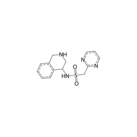 O=S(=O)(Cc1ncccn1)NC1CNCc2ccccc21